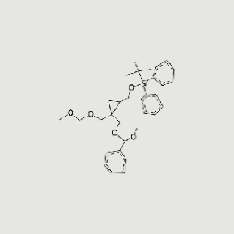 COCOCC1(COC(OC)c2ccccc2)CC1CO[Si](c1ccccc1)(c1ccccc1)C(C)(C)C